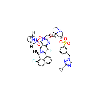 C#Cc1c(F)ccc2cccc(-c3ncc4c(N5C[C@H]6CC[C@@H](C5)N6C(=O)OCC=C)nc(OC[C@@]56CCCN5C[C@H](OS(=O)(=O)c5cccc(Cn7cnc(C8CC8)n7)c5)C6)nc4c3F)c12